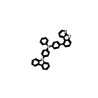 c1ccc(N(c2ccc(-c3cccc4oc5ncccc5c34)cc2)c2ccc(-n3c4ccccc4c4ccccc43)cc2)cc1